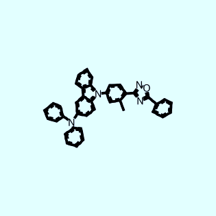 Cc1cc(-n2c3ccccc3c3cc(N(c4ccccc4)c4ccccc4)ccc32)ccc1-c1noc(-c2ccccc2)n1